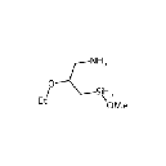 CCOC(CN)C[SiH2]OC